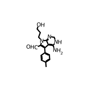 Cc1ccc(-c2c(C=O)n(CCCO)c3c2=C(N)NCN=3)cc1